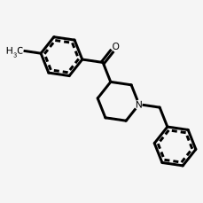 Cc1ccc(C(=O)C2CCCN(Cc3ccccc3)C2)cc1